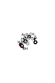 C=C1[C@@H](OC(C)=O)[C@H](n2ncc3c(NC4C5CC6C[C@@H]4CC(O)(C6)C5)nc(Cl)nc32)O[C@@H]1COC(=O)c1ccccc1